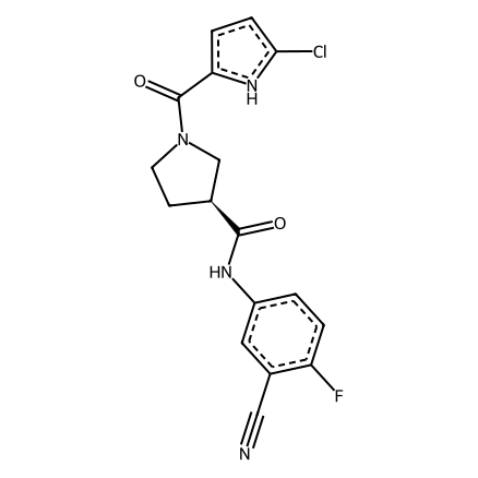 N#Cc1cc(NC(=O)[C@H]2CCN(C(=O)c3ccc(Cl)[nH]3)C2)ccc1F